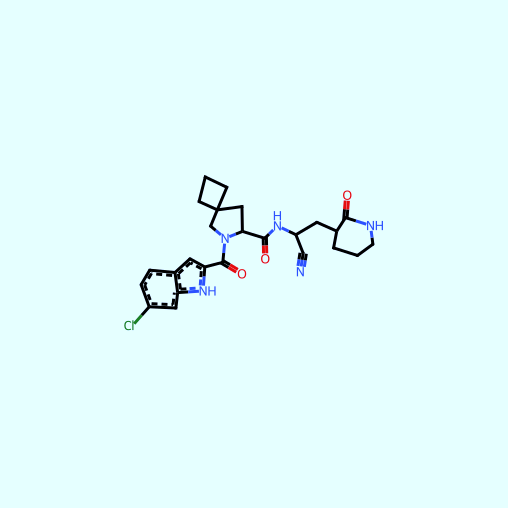 N#CC(CC1CCCNC1=O)NC(=O)C1CC2(CCC2)CN1C(=O)c1cc2ccc(Cl)cc2[nH]1